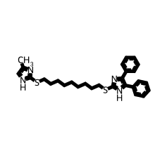 Cc1c[nH]c(SCCCCCCCCCSc2nc(-c3ccccc3)c(-c3ccccc3)[nH]2)n1